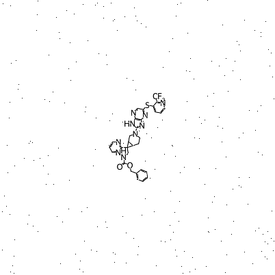 O=C(NCC1(c2ncccn2)C2CCN(c3nc4nc(Sc5cccnc5C(F)(F)F)cnc4[nH]3)CC21)OCc1ccccc1